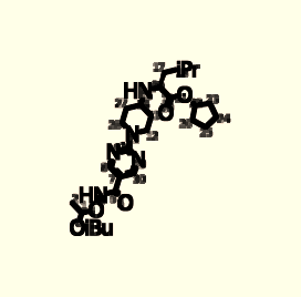 CC(C)COC(C)ONC(=O)c1cnc(N2CCC(N[C@@H](CC(C)C)C(=O)OC3CCCC3)CC2)nc1